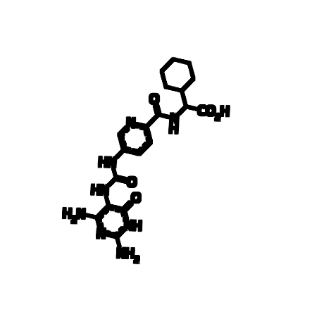 Nc1nc(N)c(NC(=O)Nc2ccc(C(=O)NC(C(=O)O)C3CCCCC3)nc2)c(=O)[nH]1